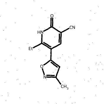 CCc1[nH]c(=O)c(C#N)cc1-c1cc(C)no1